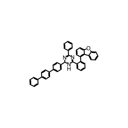 c1ccc(C2=NC(c3ccc(-c4ccc(-c5ccccc5)cc4)cc3)NC(c3ccccc3-c3cccc4oc5ccccc5c34)=N2)cc1